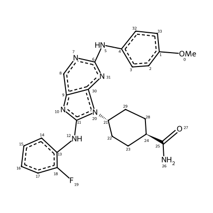 COc1ccc(Nc2ncc3nc(Nc4ccccc4F)n([C@H]4CC[C@H](C(N)=O)CC4)c3n2)cc1